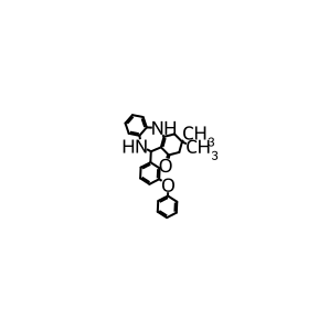 CC1(C)CC(=O)C2=C(C1)Nc1ccccc1NC2c1cccc(Oc2ccccc2)c1